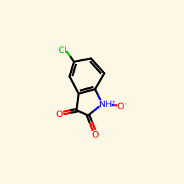 O=C1C(=O)[NH+]([O-])c2ccc(Cl)cc21